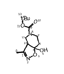 CC1=NOC2(O)CCN(C(=O)OC(C)(C)C)CC12